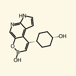 OB1C=C([C@H]2CC[C@@H](O)CC2)c2c(cnc3[nH]ccc23)O1